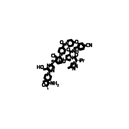 Cc1cn([C@H](C(=O)N2C[C@H](O)C[C@H]2C(=O)NCc2ccc(C#N)cc2OC2CCN(C(=O)C3CCN(c4nccc(Sc5cnc(N6CCC7(CC6)CO[C@@H](C)[C@H]7N)c(CO)n5)c4Cl)CC3)CC2)C(C)C)nn1